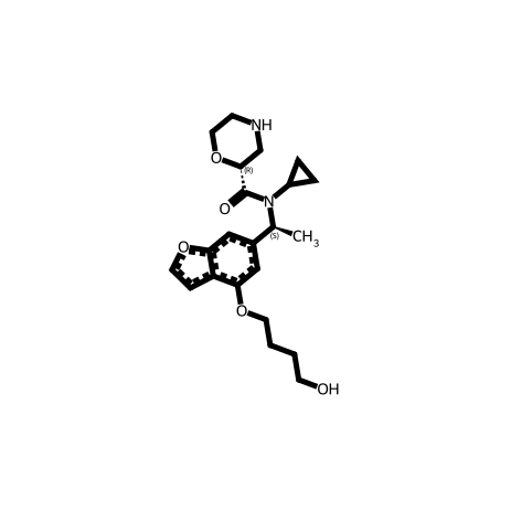 C[C@@H](c1cc(OCCCCO)c2ccoc2c1)N(C(=O)[C@H]1CNCCO1)C1CC1